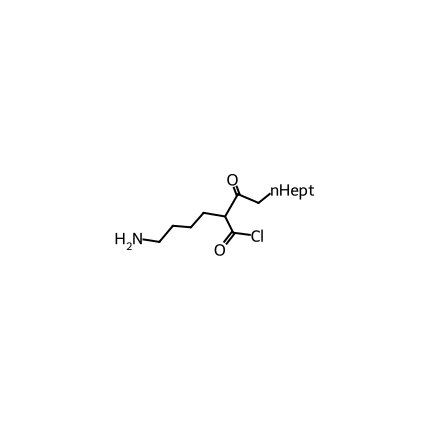 CCCCCCCCC(=O)C(CCCCN)C(=O)Cl